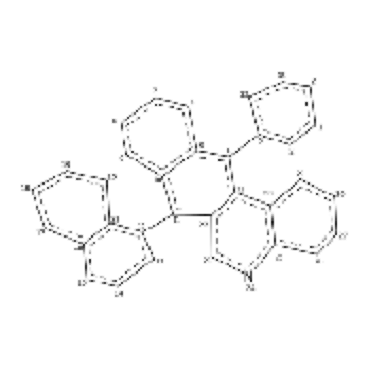 c1ccc(-c2c3ccccc3c(-c3cccc4ccccc34)c3cnc4ccccc4c23)cc1